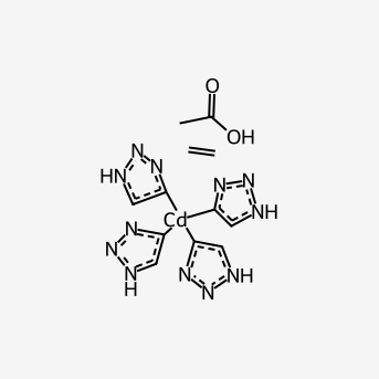 C=C.CC(=O)O.c1[nH]nn[c]1[Cd]([c]1c[nH]nn1)([c]1c[nH]nn1)[c]1c[nH]nn1